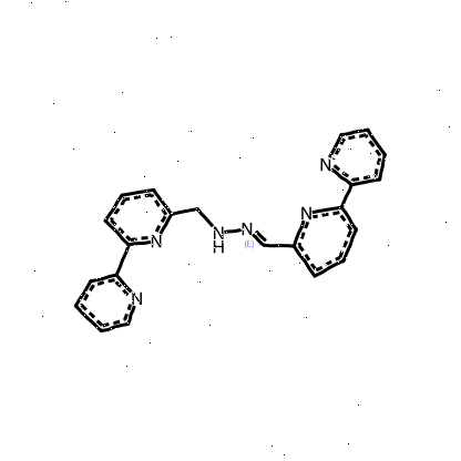 C(=N\NCc1cccc(-c2ccccn2)n1)/c1cccc(-c2ccccn2)n1